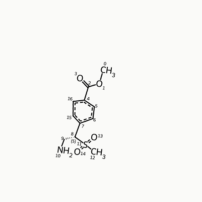 COC(=O)c1ccc([C@@H](CN)S(C)(=O)=O)cc1